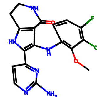 COc1c(Nc2c(-c3ccnc(N)n3)[nH]c3c2C(=O)NCC3)ccc(F)c1Cl